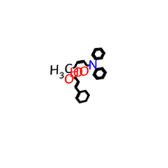 C[C@H](/C=C\C(O)N(c1ccccc1)c1ccccc1)OC(=O)/C=C/C1=CCCCC1